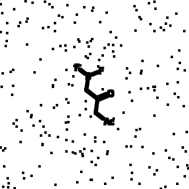 CC(=O)CC(=O)CB(F)F